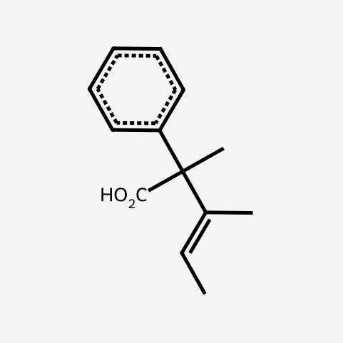 CC=C(C)C(C)(C(=O)O)c1ccccc1